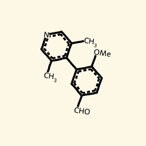 COc1ccc(C=O)cc1-c1c(C)cncc1C